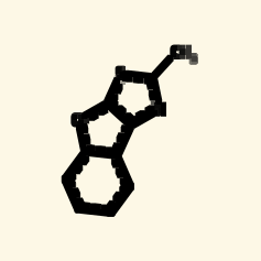 Cc1nc2c(oc3ccccc32)s1